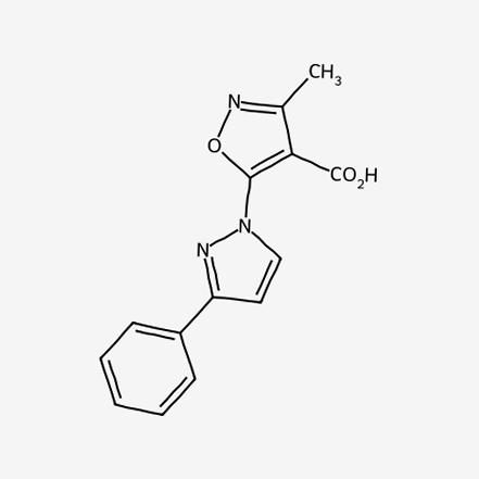 Cc1noc(-n2ccc(-c3ccccc3)n2)c1C(=O)O